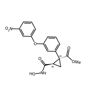 COC(=O)[C@]1(c2cccc(Oc3cccc([N+](=O)[O-])c3)c2)C[C@H]1C(=O)NO